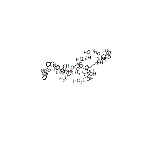 Cc1c(-c2ccc(N3CCc4cccc(C(=O)Nc5nc6ccccc6s5)c4C3)nc2C(=O)O)cnn1CC12CC3(C)CC(C)(C1)CC(OCCN(CCC(O)CO)C(=O)OCc1ccc(CCCCNC(=O)CN4C(=O)[C@@H](N5C(=O)C=CC5=O)C[C@H]4COCCS(=O)(=O)O)cc1O[C@@H]1C[C@H](C(=O)O)[C@@H](O)[C@H](O)[C@H]1O)(C3)C2